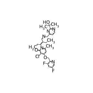 C=C/C(=C(\C=N/Cc1ccnc(C(C)(C)O)n1)CC)n1c(C)cc(OCc2ncc(F)cc2F)c(Cl)c1=O